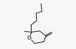 C=C1CCOC(C)(CCCCC)C1